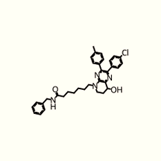 Cc1ccc(-c2nc3c(nc2-c2ccc(Cl)cc2)C(O)CCN3CCCCCCC(=O)NCc2ccccc2)cc1